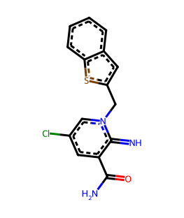 N=c1c(C(N)=O)cc(Cl)cn1Cc1cc2ccccc2s1